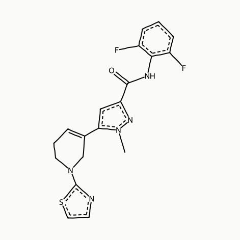 Cn1nc(C(=O)Nc2c(F)cccc2F)cc1C1=CCCN(c2nccs2)C1